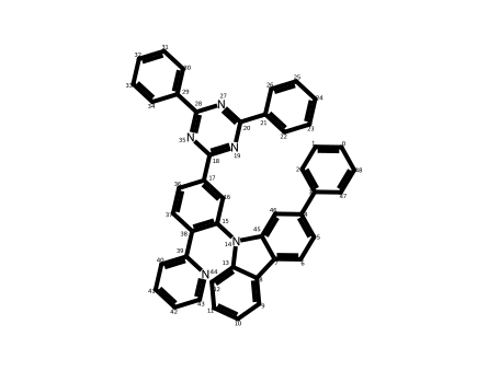 c1ccc(-c2ccc3c4ccccc4n(-c4cc(-c5nc(-c6ccccc6)nc(-c6ccccc6)n5)ccc4-c4ccccn4)c3c2)cc1